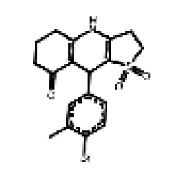 Cc1cc(C2C3=C(CCCC3=O)NC3=C2S(=O)(=O)CC3)ccc1Br